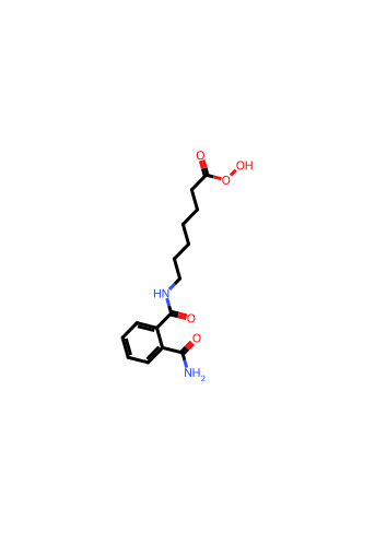 NC(=O)c1ccccc1C(=O)NCCCCCCC(=O)OO